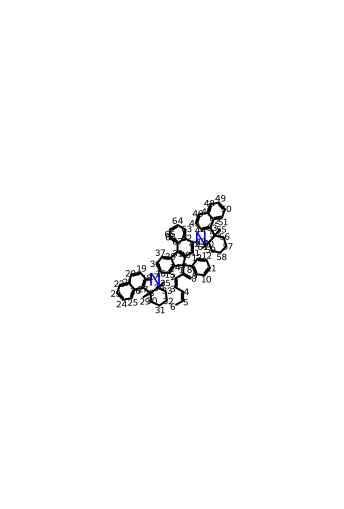 C=C(/C=C\C=C/C)C1(c2ccccc2)c2cc(N3c4ccc5ccccc5c4C4(C)CCCCC34C)ccc2-c2c1cc(N1c3ccc4ccccc4c3C3(C)CCCCC13C)c1ccccc21